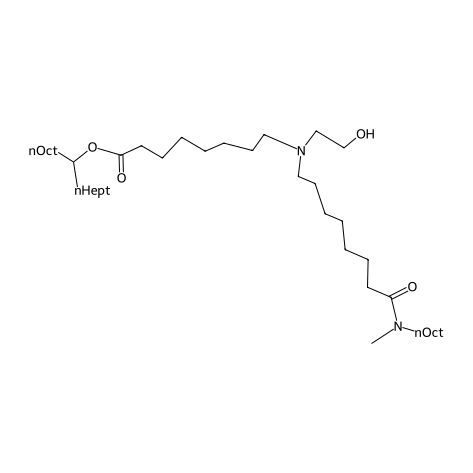 CCCCCCCCC(CCCCCCC)OC(=O)CCCCCCCN(CCO)CCCCCCCC(=O)N(C)CCCCCCCC